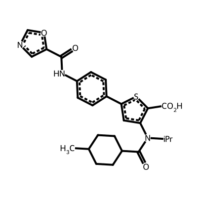 CC1CCC(C(=O)N(c2cc(-c3ccc(NC(=O)c4cnco4)cc3)sc2C(=O)O)C(C)C)CC1